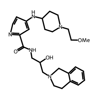 COCCN1CCC(Nc2ccnc(C(=O)NCC(O)CN3CCc4ccccc4C3)c2)CC1